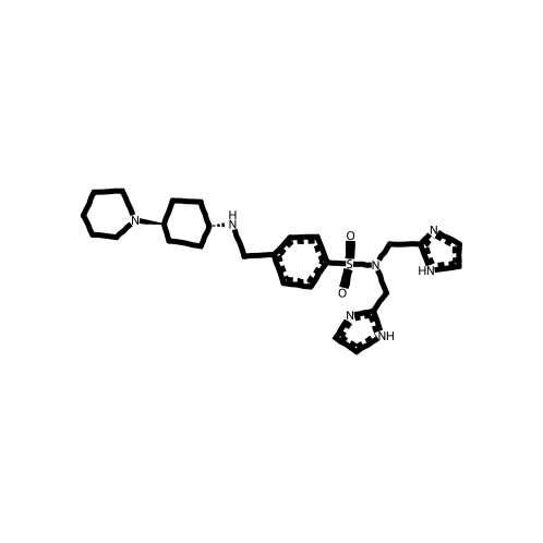 O=S(=O)(c1ccc(CN[C@H]2CC[C@H](N3CCCCC3)CC2)cc1)N(Cc1ncc[nH]1)Cc1ncc[nH]1